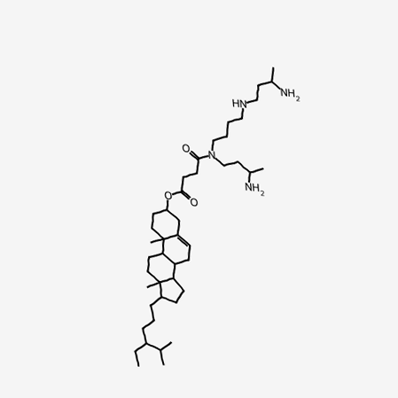 CCC(CCCC1CCC2C3CC=C4CC(OC(=O)CCC(=O)N(CCCCNCCC(C)N)CCC(C)N)CCC4(C)C3CCC12C)C(C)C